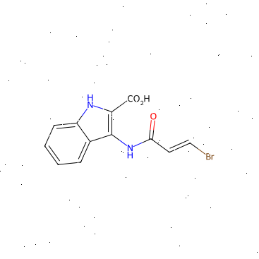 O=C(C=CBr)Nc1c(C(=O)O)[nH]c2ccccc12